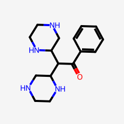 O=C(c1ccccc1)C(C1CNCCN1)C1CNCCN1